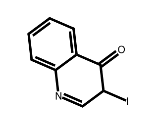 O=C1c2ccccc2N=CC1I